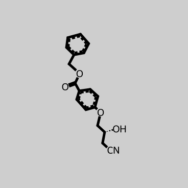 N#CC[C@@H](O)COc1ccc(C(=O)OCc2ccccc2)cc1